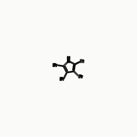 CCc1[nH]c(C(C)C)c(C(C)C)c1C(C)C